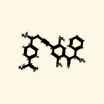 Cc1cc(C(=O)N(C)c2ccccn2)c(C)cc1C#CCN(C)c1ccc(C(=N)N)cc1